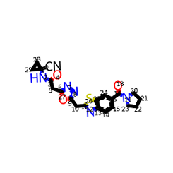 N#CC1(NC(=O)Cc2nnc(Cc3nc4ccc(C(=O)N5CCCC5)cc4s3)o2)CC1